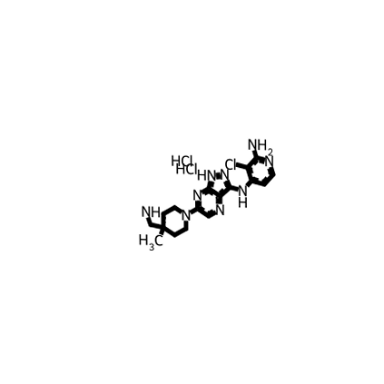 CC1(CN)CCN(c2cnc3c(Nc4ccnc(N)c4Cl)n[nH]c3n2)CC1.Cl.Cl